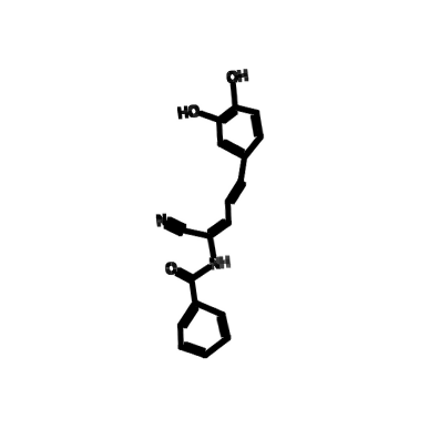 N#C/C(=C\C=C\c1ccc(O)c(O)c1)NC(=O)c1ccccc1